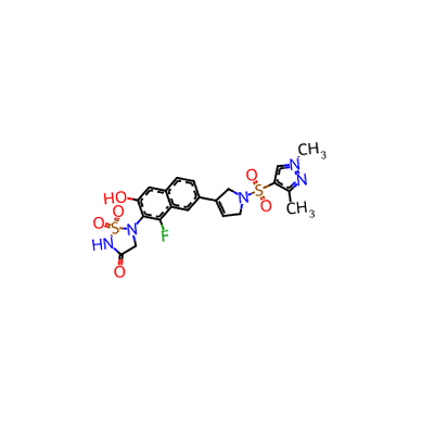 Cc1nn(C)cc1S(=O)(=O)N1CC=C(c2ccc3cc(O)c(N4CC(=O)NS4(=O)=O)c(F)c3c2)C1